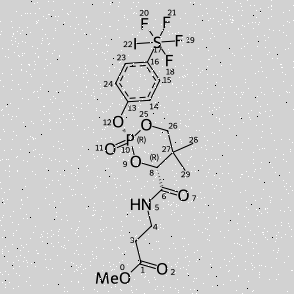 COC(=O)CCNC(=O)[C@@H]1O[P@](=O)(Oc2ccc(S(F)(F)(F)(F)I)cc2)OCC1(C)C